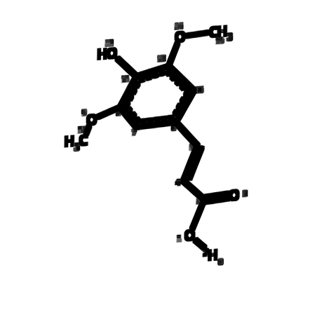 [2H]OC(=O)/C=C/c1cc(OC)c(O)c(OC)c1